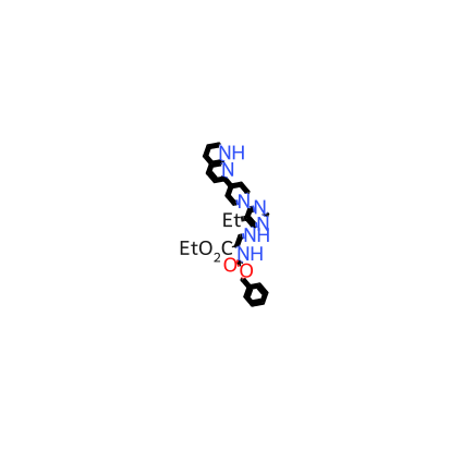 CCOC(=O)[C@H](CNc1ncnc(N2CCC(c3ccc4c(n3)NCCC4)CC2)c1CC)NC(=O)OCc1ccccc1